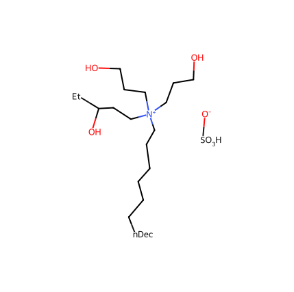 CCCCCCCCCCCCCCCC[N+](CCCO)(CCCO)CCC(O)CC.O=S(=O)([O-])O